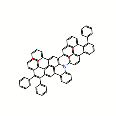 c1ccc(-c2ccc(N(c3ccc(-c4cccc(-c5ccccc5)c4-c4ccccc4)cc3)c3ccccc3-c3ccc4c(c3)c(-c3ccccc3)c(-c3ccccc3)c3ccccc34)c(-c3ccccc3)c2)cc1